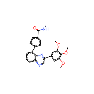 CNC(=O)c1ccc(-c2cccc3ncc(-c4cc(OC)c(OC)c(OC)c4)nc23)cc1